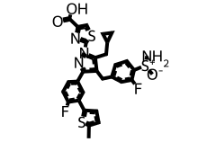 Cc1ccc(-c2cc(-c3nn(-c4nc(C(=O)O)cs4)c(CC4CC4)c3Cc3ccc([S+](N)[O-])c(F)c3)ccc2F)s1